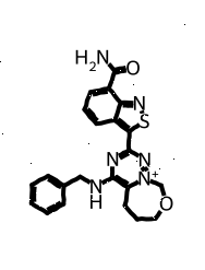 NC(=O)c1cccc2c(-c3nc(NCc4ccccc4)c4[n+](n3)COCCC4)snc12